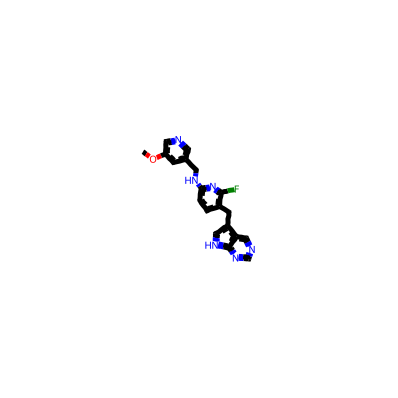 COc1cncc(CNc2ccc(Cc3c[nH]c4ncncc34)c(F)n2)c1